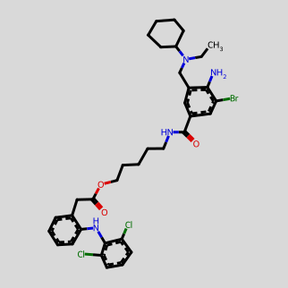 CCN(Cc1cc(C(=O)NCCCCCOC(=O)Cc2ccccc2Nc2c(Cl)cccc2Cl)cc(Br)c1N)C1CCCCC1